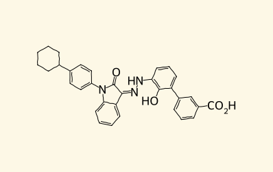 O=C(O)c1cccc(-c2cccc(N/N=C3\C(=O)N(c4ccc(C5CCCCC5)cc4)c4ccccc43)c2O)c1